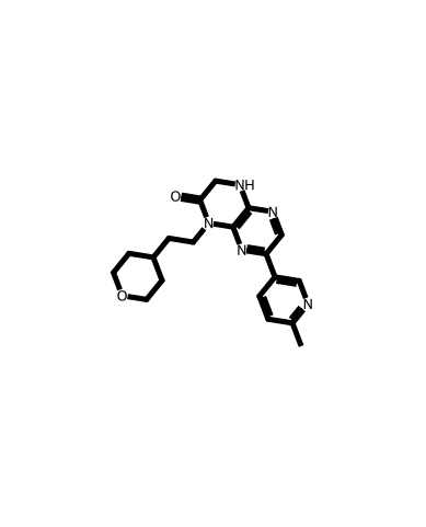 Cc1ccc(-c2cnc3c(n2)N(CCC2CCOCC2)C(=O)CN3)cn1